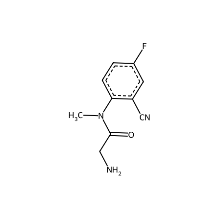 CN(C(=O)CN)c1ccc(F)cc1C#N